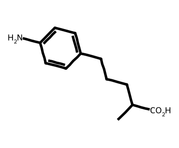 CC(CCCc1ccc(N)cc1)C(=O)O